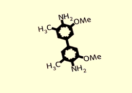 COc1cc(-c2cc(C)c(N)c(OC)c2)cc(C)c1N